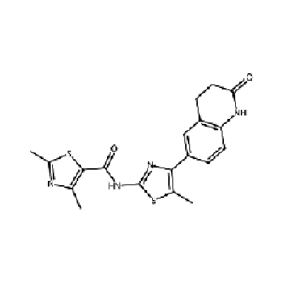 Cc1nc(C)c(C(=O)Nc2nc(-c3ccc4c(c3)CCC(=O)N4)c(C)s2)s1